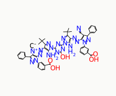 [C-]#[N+]c1c(-c2ccccc2)nn(-c2cccc(C(=O)O)c2)c1N=Nc1c(C(C)(C)C)nn(-c2nc(O)nc(-n3nc(C(C)(C)C)c(N=Nc4c(C#N)c(-c5ccccc5)nn4-c4cccc(C(=O)O)c4)c3N)n2)c1N